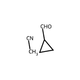 CC#N.O=CC1CC1